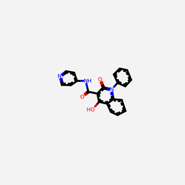 O=C(Nc1ccncc1)c1c(O)c2ccccc2n(-c2ccccc2)c1=O